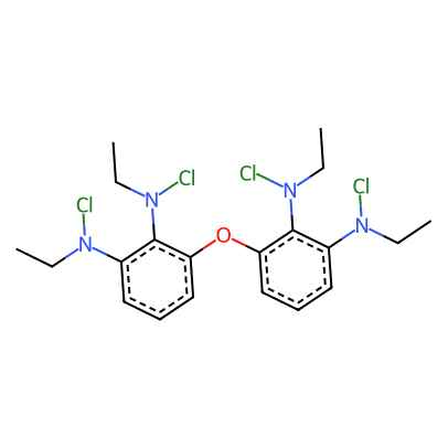 CCN(Cl)c1cccc(Oc2cccc(N(Cl)CC)c2N(Cl)CC)c1N(Cl)CC